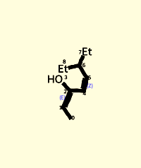 C/C=C(O)\C=C/C(CC)CC